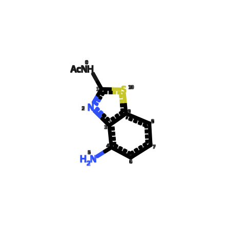 CC(=O)Nc1nc2c(N)cccc2s1